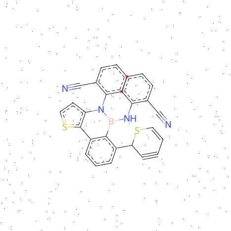 N#Cc1ccccc1NB1c2c(cccc2C2C#CC=CS2)-c2sccc2N1c1ccccc1C#N